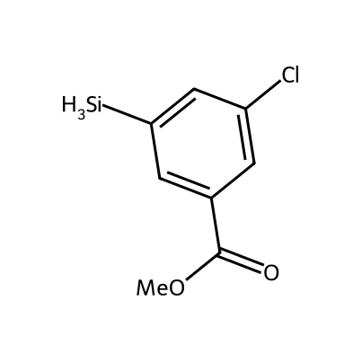 COC(=O)c1cc([SiH3])cc(Cl)c1